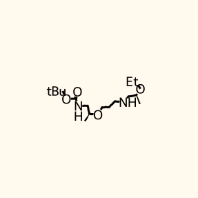 CCO[C@@H](C)CNCCCO[C@@H](C)CNC(=O)OC(C)(C)C